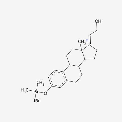 CC12CCC3c4ccc(O[Si](C)(C)C(C)(C)C)cc4CCC3C1CC/C2=C\CO